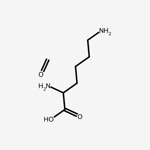 C=O.NCCCCC(N)C(=O)O